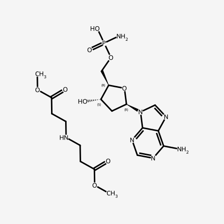 COC(=O)CCNCCC(=O)OC.Nc1ncnc2c1ncn2[C@H]1C[C@H](O)[C@@H](COP(N)(=O)O)O1